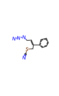 N#CSCC(=CCN=[N+]=[N-])c1ccccc1